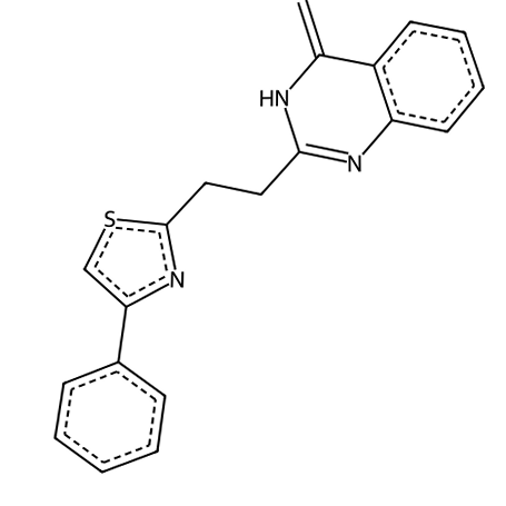 C=C1NC(CCc2nc(-c3ccccc3)cs2)=Nc2ccccc21